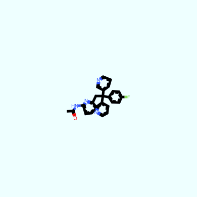 CC(=O)Nc1cccc(CC(c2ccc(F)cc2)(c2cccnc2)c2cccnc2)n1